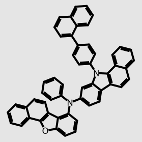 c1ccc(N(c2ccc3c4ccc5ccccc5c4n(-c4ccc(-c5cccc6ccccc56)cc4)c3c2)c2cccc3oc4c5ccccc5ccc4c23)cc1